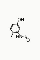 Cc1ccc(O)cc1NC=O